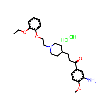 CCOc1ccccc1OCCN1CCC(CCC(=O)c2ccc(OC)c(N)c2)CC1.Cl.Cl